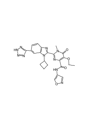 CCOc1c(C(=O)Nc2cnoc2)nc(-c2nc3ccc(-c4nn[nH]n4)cc3n2C2CCC2)n(C)c1=O